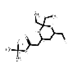 CCC1(CC)OC(CCl)CC(CC(=O)OC(C)(C)C)O1